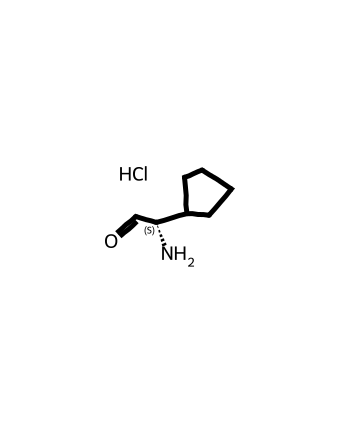 Cl.N[C@H](C=O)C1CCCC1